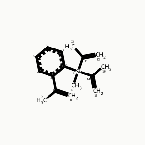 C=C(C)c1ccccc1[Si](C)(C(=C)C)C(=C)C